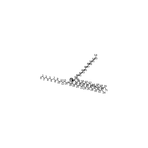 CCCCCCCCCCCCCCCCCC(CCCCCCCCCCCCCCCCC)C(=O)C(CCCCCCCCCCCCCCCCC)CCCCCCCCCCCCCCCCC